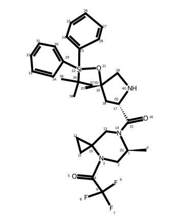 C[C@H]1CN(C(=O)C(F)(F)F)C2(CC2)CN1C(=O)[C@@H]1C[C@](C)(O[Si](c2ccccc2)(c2ccccc2)C(C)(C)C)CN1